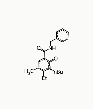 CCCCn1c(CC)c(C)cc(C(=O)NCc2ccccc2)c1=O